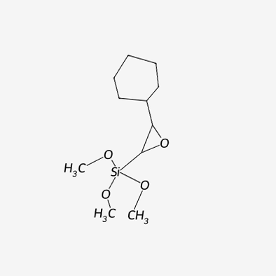 CO[Si](OC)(OC)C1OC1C1CCCCC1